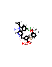 COc1cccc(Sc2ccc(C(=O)c3ccc(NC(c4ccc(Cl)cc4)C4CC4)cn3)cc2C(=O)O)c1